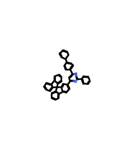 C1=CCC(c2ccc(-c3cc(-c4ccc5c(c4)C4(c6ccccc6-c6ccccc64)c4ccccc4-5)nc(-c4ccccc4)n3)cc2)C=C1